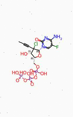 CC#CC1(Cl)[C@@H](O)[C@@H](COP(=O)(O)OP(=O)(O)OP(=O)(O)O)O[C@H]1n1cc(F)c(N)nc1=O